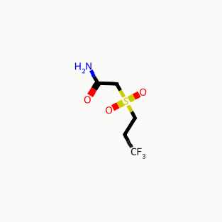 NC(=O)CS(=O)(=O)CCC(F)(F)F